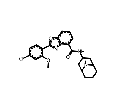 COc1cc(Cl)ccc1-c1nc2c(C(=O)NC3CC4CCCC(C3)N4C)cccc2o1